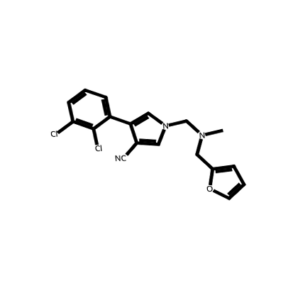 CN(Cc1ccco1)Cn1cc(C#N)c(-c2cccc(Cl)c2Cl)c1